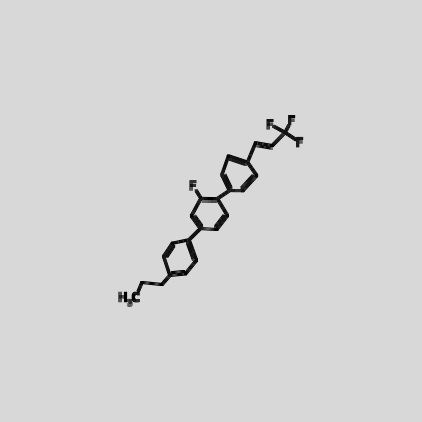 CCCc1ccc(-c2ccc(-c3ccc(/C=C/C(F)(F)F)cc3)c(F)c2)cc1